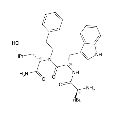 CCCC[C@H](N)C(=O)N[C@@H](Cc1c[nH]c2ccccc12)C(=O)N(CCc1ccccc1)[C@@H](CC(C)C)C(N)=O.Cl